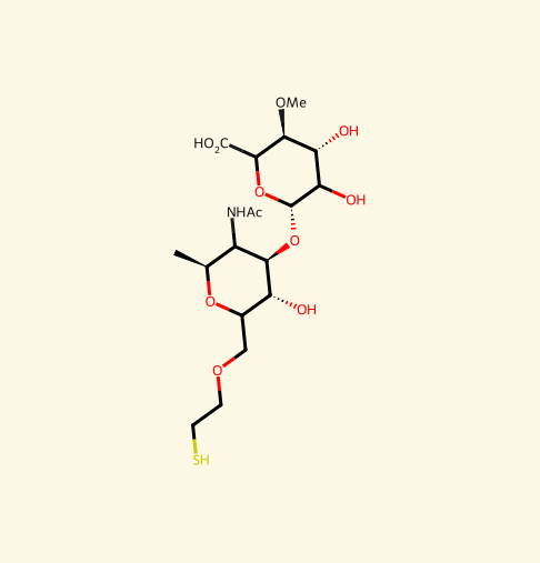 CO[C@@H]1C(C(=O)O)O[C@@H](O[C@@H]2C(NC(C)=O)[C@H](C)OC(COCCS)[C@H]2O)C(O)[C@H]1O